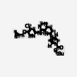 CC(C)(C)OC(=O)N1C[C@@H]2C[C@H]1CN2c1ccc2ncnc(Nc3cc(Cl)c(OCC4CC4)cn3)c2n1